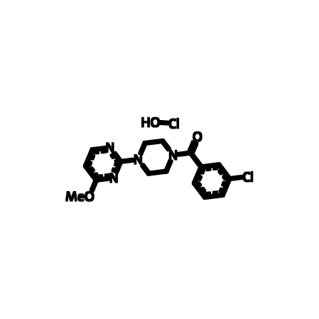 COc1ccnc(N2CCN(C(=O)c3cccc(Cl)c3)CC2)n1.OCl